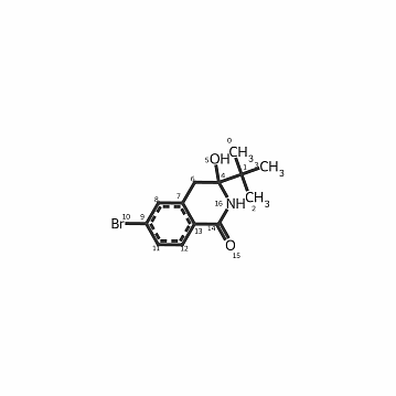 CC(C)(C)C1(O)Cc2cc(Br)ccc2C(=O)N1